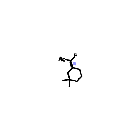 CC(=O)/C(F)=C1/CCCC(C)(C)C1